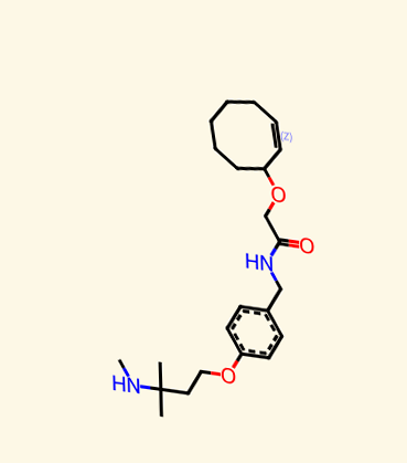 CNC(C)(C)CCOc1ccc(CNC(=O)COC2/C=C\CCCCC2)cc1